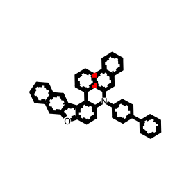 c1ccc(-c2ccc(N(c3ccc4ccccc4c3)c3ccc4oc5cc6ccccc6cc5c4c3-c3ccccc3)cc2)cc1